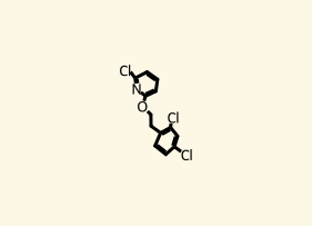 Clc1ccc(CCOc2cccc(Cl)n2)c(Cl)c1